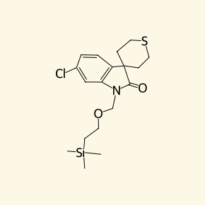 C[Si](C)(C)CCOCN1C(=O)C2(CCSCC2)c2ccc(Cl)cc21